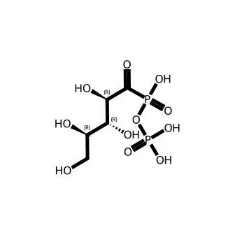 O=C([C@H](O)[C@H](O)[C@H](O)CO)P(=O)(O)OP(=O)(O)O